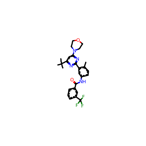 Cc1ccc(NC(=O)c2cccc(C(F)(F)F)c2)cc1-c1nc(N2CCOCC2)cc(C(C)(C)C)n1